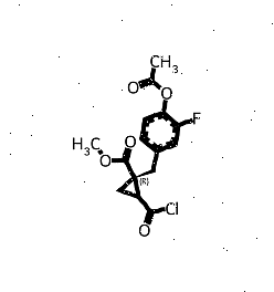 COC(=O)[C@@]1(Cc2ccc(OC(C)=O)c(F)c2)CC1C(=O)Cl